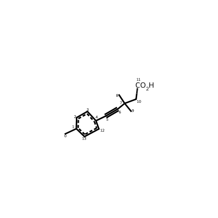 Cc1ccc(C#CC(C)(C)CC(=O)O)cc1